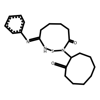 O=C1CCCCCCCC1N1SNC(=Nc2ccccc2)CCCCC1=O